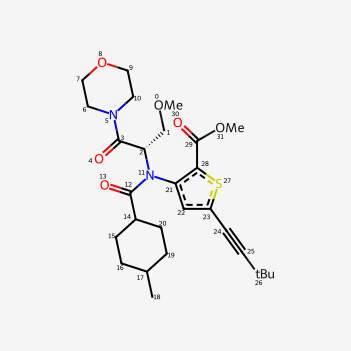 COC[C@@H](C(=O)N1CCOCC1)N(C(=O)C1CCC(C)CC1)c1cc(C#CC(C)(C)C)sc1C(=O)OC